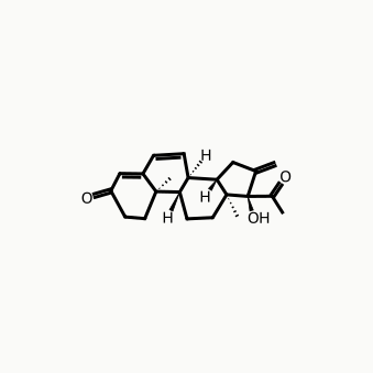 C=C1C[C@H]2[C@@H]3C=CC4=CC(=O)CC[C@]4(C)[C@H]3CC[C@]2(C)[C@@]1(O)C(C)=O